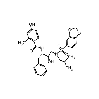 Cc1cc(O)ccc1C(=O)N[C@@H](Cc1ccccc1)[C@H](O)CN(CC(C)C)S(=O)(=O)c1ccc2c(c1)OCO2